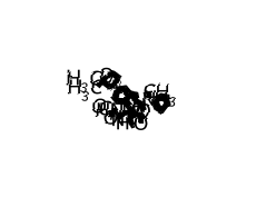 CN(C(=O)c1cc2cc([C@H]3CCOC(C)(C)C3)ccc2n1C1(C2=NOC(=C=O)N2)[C@@H]2COC[C@@H]21)c1ccccc1